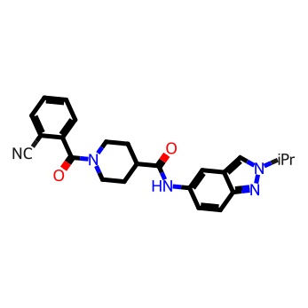 CC(C)n1cc2cc(NC(=O)C3CCN(C(=O)c4ccccc4C#N)CC3)ccc2n1